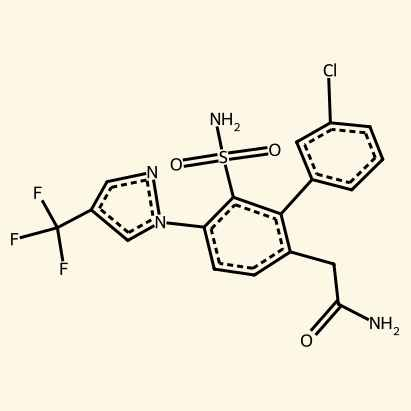 NC(=O)Cc1ccc(-n2cc(C(F)(F)F)cn2)c(S(N)(=O)=O)c1-c1cccc(Cl)c1